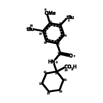 COc1c(C(C)(C)C)cc(C(=O)NC2(C(=O)O)CCCCC2)cc1C(C)(C)C